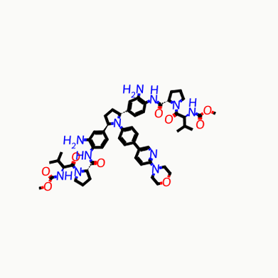 COC(=O)N[C@H](C(=O)N1CCC[C@H]1C(=O)Nc1ccc([C@H]2CC[C@H](c3ccc(NC(=O)[C@@H]4CCCN4C(=O)[C@@H](NC(=O)OC)C(C)C)c(N)c3)N2c2ccc(-c3ccc(N4CCOCC4)nc3)cc2)cc1N)C(C)C